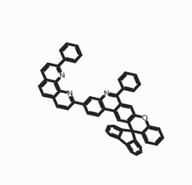 c1ccc(-c2ccc3ccc4ccc(-c5ccc6c(c5)nc(-c5ccccc5)c5cc7c(cc56)C5(c6ccccc6O7)c6ccccc6-c6ccccc65)nc4c3n2)cc1